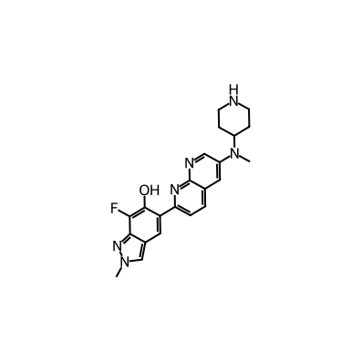 CN(c1cnc2nc(-c3cc4cn(C)nc4c(F)c3O)ccc2c1)C1CCNCC1